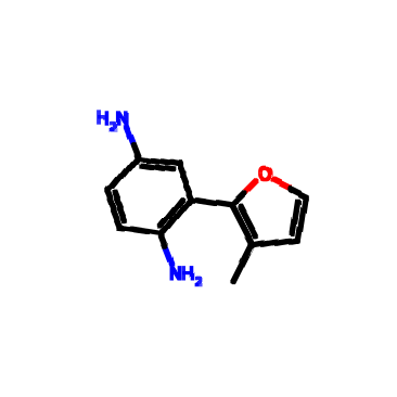 Cc1ccoc1-c1cc(N)ccc1N